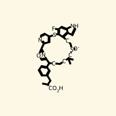 CC(Cc1cccc(C2CCCC(C)(C)C[S+]([O-])CCc3c(c(F)cc4[nH]ccc34)Sc3ccnc(c3)-c3nc2co3)c1)C(=O)O